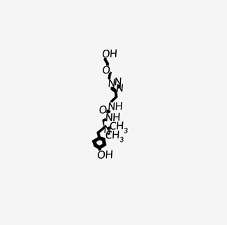 CN(C)[C@H](CNC(=O)NCCc1cn(CCOCCO)nn1)Cc1ccc(O)cc1